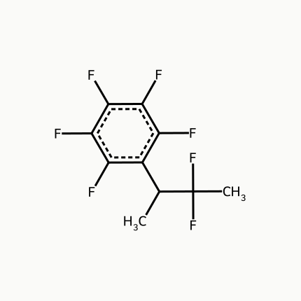 CC(c1c(F)c(F)c(F)c(F)c1F)C(C)(F)F